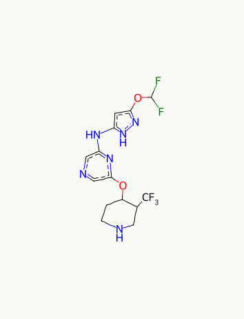 FC(F)Oc1cc(Nc2cncc(OC3CCNCC3C(F)(F)F)n2)[nH]n1